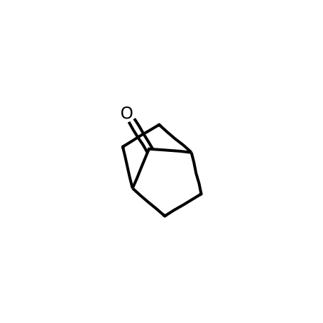 O=C1C2CCC1CC2